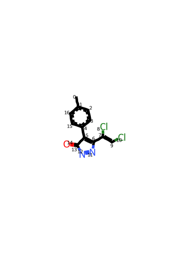 Cc1ccc(C2=C(C(Cl)=CCl)N=NC2=O)cc1